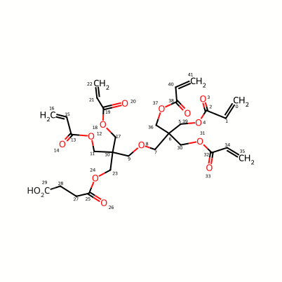 C=CC(=O)OCC(COCC(COC(=O)C=C)(COC(=O)C=C)COC(=O)CCC(=O)O)(COC(=O)C=C)COC(=O)C=C